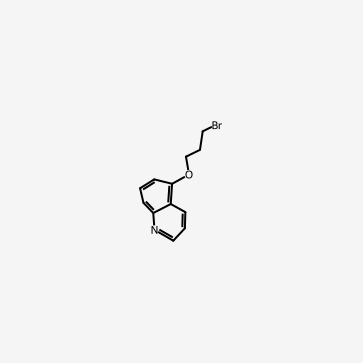 BrCCCOc1cccc2ncccc12